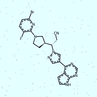 N#CC[C@@H]([C@H]1CCN(c2nc(Br)ccc2F)C1)n1cc(-c2ncnc3[nH]ccc23)cn1